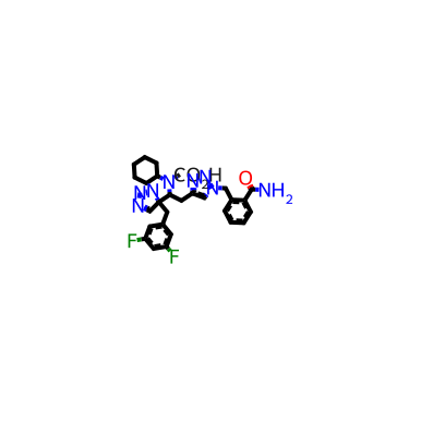 NC(=O)c1ccccc1Cn1cc(CC(N(C(=O)O)C2CCCCC2)C2(Cc3cc(F)cc(F)c3)C=NN=N2)nn1